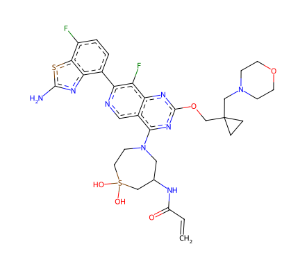 C=CC(=O)NC1CN(c2nc(OCC3(CN4CCOCC4)CC3)nc3c(F)c(-c4ccc(F)c5sc(N)nc45)ncc23)CCS(O)(O)C1